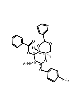 CC(=O)N[C@H]1[C@H](Oc2ccc([N+](=O)[O-])cc2)O[C@@H]2COC(c3ccccc3)O[C@H]2[C@@H]1OC(=O)c1ccccc1